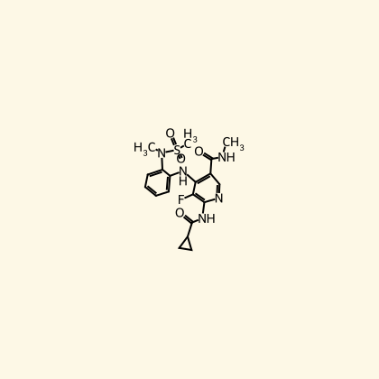 CNC(=O)c1cnc(NC(=O)C2CC2)c(F)c1Nc1ccccc1N(C)S(C)(=O)=O